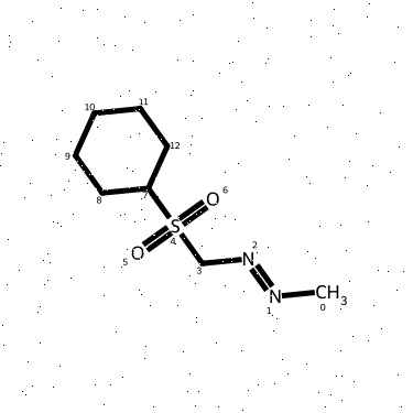 CN=NCS(=O)(=O)C1CCCCC1